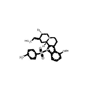 CC[C@@H]1CN2CCc3c(n(S(=O)(=O)c4ccc(C)cc4)c4cccc(OC)c34)[C@@H]2CC1=CC(=O)O